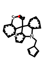 C1=CC(CN2c3ccccc3C3(c4ccccc4Sc4ccccc43)c3sccc32)C=C1